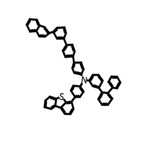 c1ccc(-c2ccccc2-c2cccc(N(c3ccc(-c4ccc(-c5cccc(-c6ccc7ccccc7c6)c5)cc4)cc3)c3ccc(-c4cccc5c4sc4ccccc45)cc3)c2)cc1